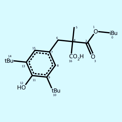 CCC(C)OC(=O)C(C)(Cc1cc(C(C)(C)C)c(O)c(C(C)(C)C)c1)C(=O)O